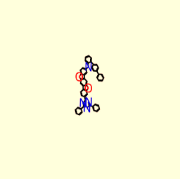 c1ccc(-c2ccc3c4ccccc4n(-c4ccc5oc6cc7c(cc6c5c4)oc4cc(-c5nc(-c6ccccc6)nc(-c6ccccc6)n5)ccc47)c3c2)cc1